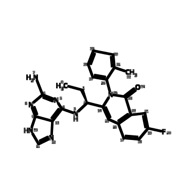 CC[C@H](Nc1nc(N)nc2[nH]cnc12)c1cc2ccc(F)cc2c(=O)n1-c1ccccc1C